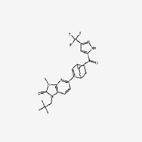 Cn1c(=O)n(CC(C)(C)C)c2ccc(C3=CC4CCC3CN4C(=O)c3cc(C(F)(F)F)n[nH]3)nc21